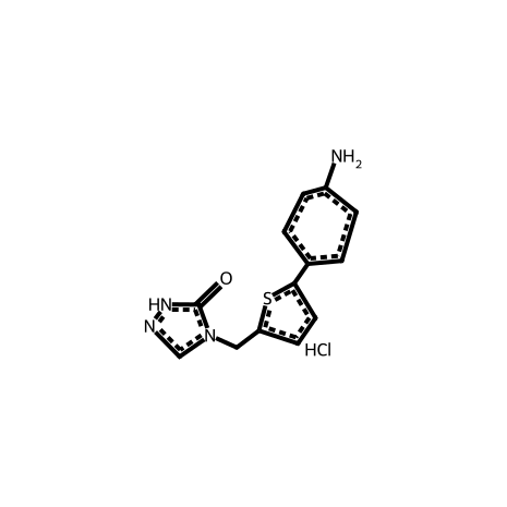 Cl.Nc1ccc(-c2ccc(Cn3cn[nH]c3=O)s2)cc1